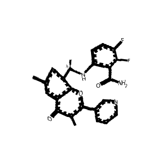 Cc1cc([C@@H](C)Nc2ccc(F)c(F)c2C(N)=O)c2oc(-c3cccnc3)c(C)c(=O)c2c1